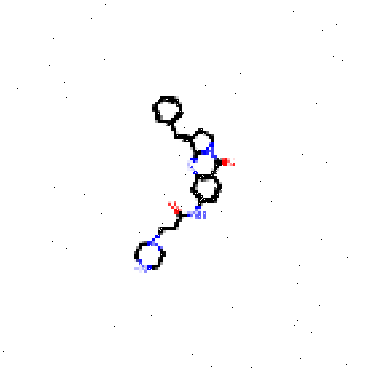 O=C(CCN1CCNCC1)Nc1ccc2c(=O)n3c(nc2c1)C(=Cc1ccccc1)CC3